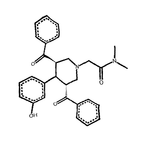 CN(C)C(=O)CN1C[C@H](C(=O)c2ccccc2)C(c2cccc(O)c2)[C@@H](C(=O)c2ccccc2)C1